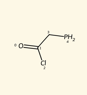 O=C(Cl)CP